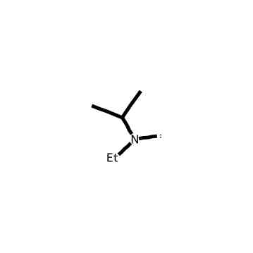 [CH]N(CC)C(C)C